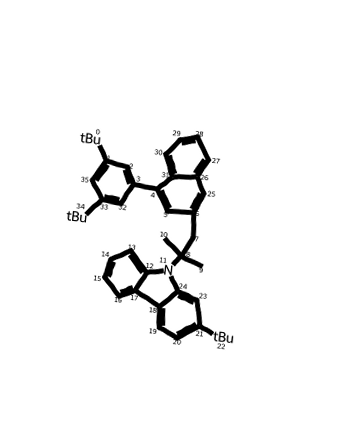 CC(C)(C)c1cc(-c2cc(CC(C)(C)n3c4ccccc4c4ccc(C(C)(C)C)cc43)cc3ccccc23)cc(C(C)(C)C)c1